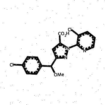 COC(c1ccc(Cl)cc1)c1cc(C(=O)O)n(-c2ncccc2Cl)n1